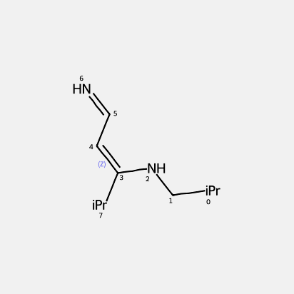 CC(C)CN/C(=C\C=N)C(C)C